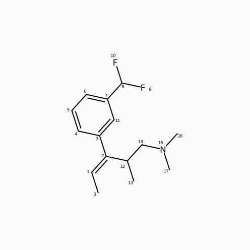 CC=C(c1cccc(C(F)F)c1)C(C)CN(C)C